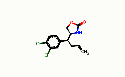 C=CC[C@@H](c1ccc(Cl)c(Cl)c1)[C@H]1COC(=O)N1